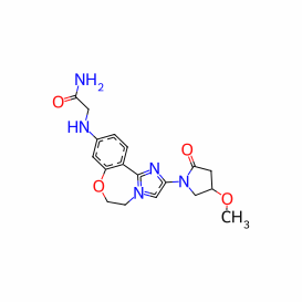 COC1CC(=O)N(c2cn3c(n2)-c2ccc(NCC(N)=O)cc2OCC3)C1